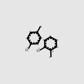 CCc1ccc(C)cc1.CCc1ccccc1C